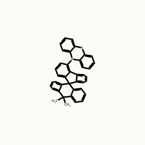 CC1(C)c2ccccc2C2(c3ccccc3-c3c(N4c5ccccc5Sc5ccccc54)cccc32)c2ccccc21